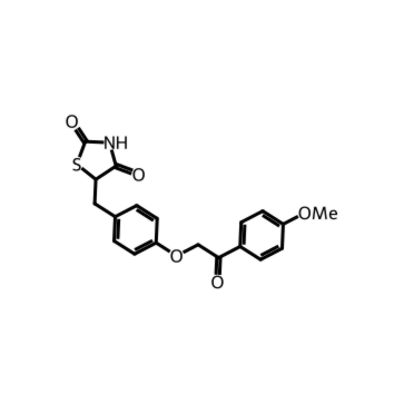 COc1ccc(C(=O)COc2ccc(CC3SC(=O)NC3=O)cc2)cc1